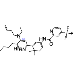 C=CCCN(CC)/C(=C/C(=N)C1=CC(NC(=O)c2cc(C(F)(F)F)ccn2)=CCC1(C)C)C(=N)CCCC